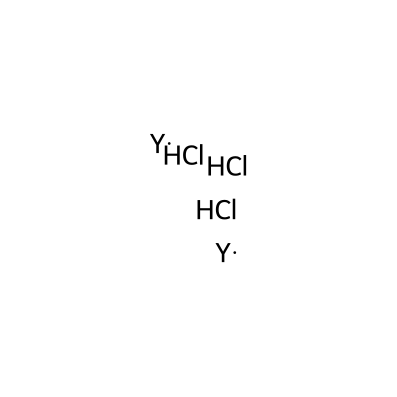 Cl.Cl.Cl.[Y].[Y]